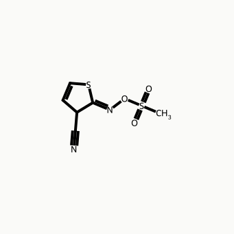 CS(=O)(=O)ON=C1SC=CC1C#N